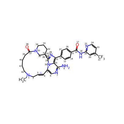 CN1C/C=C/c2cnc(N)c3c(-c4ccc(C(=O)Nc5cc(C(F)(F)F)ccn5)cc4)nc(n23)[C@@H]2CCCN(C2)C(=O)CCCC1